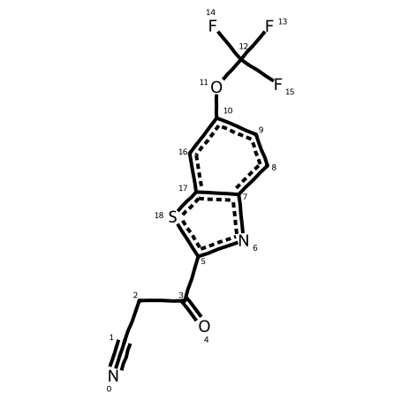 N#CCC(=O)c1nc2ccc(OC(F)(F)F)cc2s1